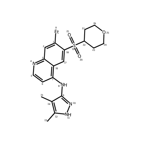 CCc1cc2nccc(Nc3n[nH]c(C)c3C)c2cc1S(=O)(=O)C1CCOCC1